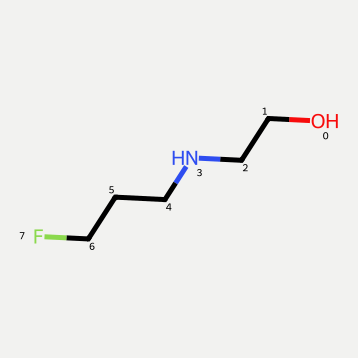 OCCNCCCF